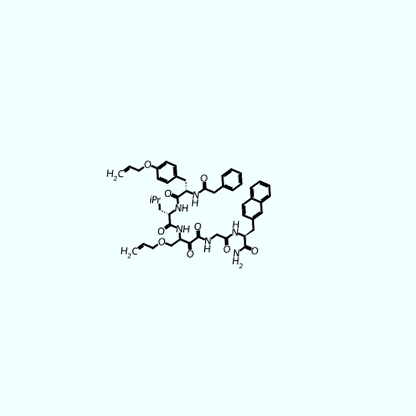 C=CCOCC(NC(=O)[C@H](CC(C)C)NC(=O)[C@H](Cc1ccc(OCC=C)cc1)NC(=O)Cc1ccccc1)C(=O)C(=O)NCC(=O)N[C@@H](Cc1ccc2ccccc2c1)C(N)=O